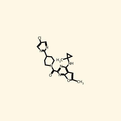 Cc1cc2c(NC3(C)CC3)nc(C(=O)N3CCC(c4ncc(Cl)cn4)CC3)nc2o1